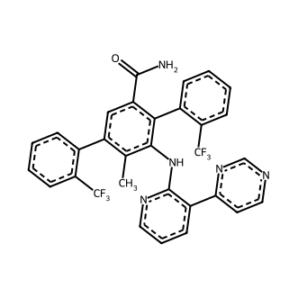 Cc1c(-c2ccccc2C(F)(F)F)cc(C(N)=O)c(-c2ccccc2C(F)(F)F)c1Nc1ncccc1-c1ccncn1